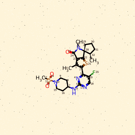 Cc1c(-c2nc(NC3CCN(S(C)(=O)=O)CC3)ncc2F)sc2c1C(=O)N(C)[C@@]21CCC[C@H]1C